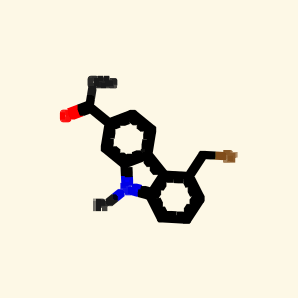 COC(=O)c1ccc2c3c(CBr)cccc3n(C(C)C)c2c1